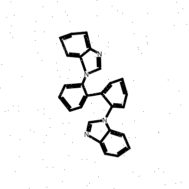 c1ccc(-n2cnc3ccccc32)c(-c2ccccc2-n2cnc3ccccc32)c1